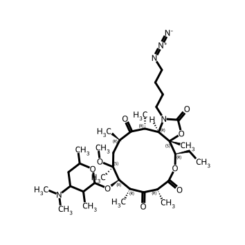 CC[C@H]1OC(=O)[C@H](C)C(=O)[C@H](C)[C@@H](OC2OC(C)CC(N(C)C)C2C)[C@@](C)(OC)C[C@@H](C)C(=O)[C@H](C)[C@H]2N(CCCCN=[N+]=[N-])C(=O)O[C@]12C